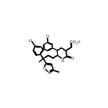 Cc1cc(C(C)(CCC2NC(=O)C(CC(=O)O)CC2c2cccc(Cl)c2)c2ccc(Cl)cc2)on1